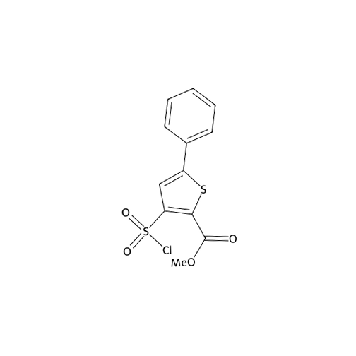 COC(=O)c1sc(-c2ccccc2)cc1S(=O)(=O)Cl